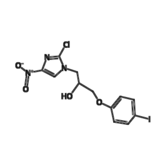 O=[N+]([O-])c1cn(CC(O)COc2ccc(I)cc2)c(Cl)n1